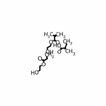 C=C(C)C(=O)OCCO.C=C(CC)C(=O)O.C=CC(=O)OCCO